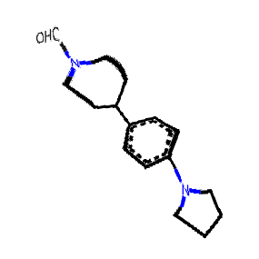 O=CN1CCC(c2ccc(N3CCCC3)cc2)CC1